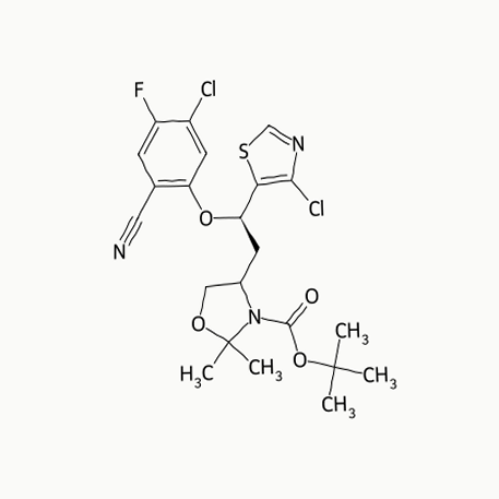 CC(C)(C)OC(=O)N1C(C[C@@H](Oc2cc(Cl)c(F)cc2C#N)c2scnc2Cl)COC1(C)C